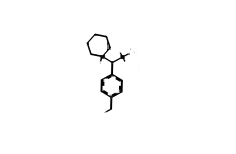 CC(C)(N)C(c1ccc(CO)cc1)C1(O)CCCCC1